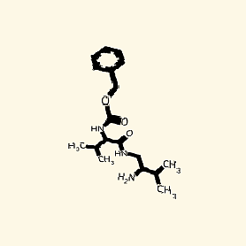 CC(C)C(N)CNC(=O)C(NC(=O)OCc1ccccc1)C(C)C